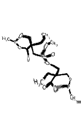 CCC1(COP(=O)(CC2(CC)COP(C)OC2=O)OC)COP(C)OC1=O